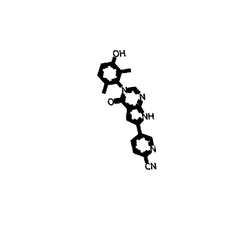 Cc1ccc(O)c(C)c1-n1cnc2[nH]c(-c3ccc(C#N)nc3)cc2c1=O